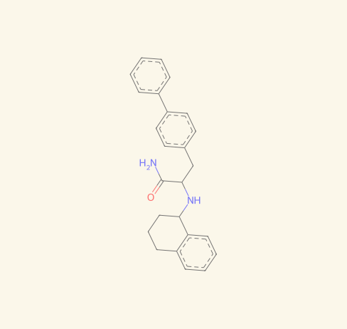 NC(=O)C(Cc1ccc(-c2ccccc2)cc1)NC1CCCc2ccccc21